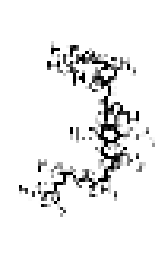 Cc1c(C)c2c(c(C)c1OC(=O)CCC(=O)OC(C)(C)CCOC(C)C)CCC(C)(CCCC(C)CCCC(C)CCCC(C)C)O2